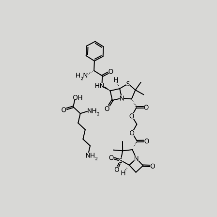 CC1(C)S[C@@H]2[C@H](NC(=O)[C@H](N)c3ccccc3)C(=O)N2[C@H]1C(=O)OCOC(=O)[C@@H]1N2C(=O)C[C@H]2S(=O)(=O)C1(C)C.NCCCCC(N)C(=O)O